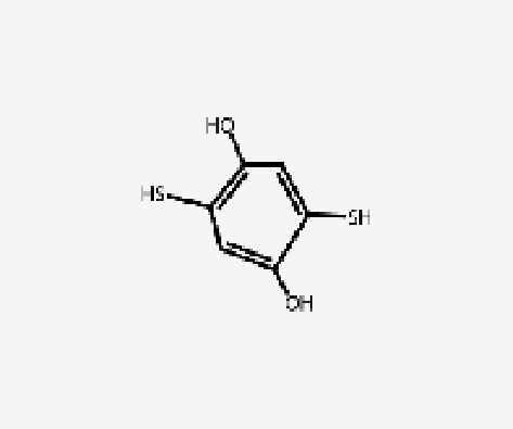 Oc1cc(S)c(O)cc1S